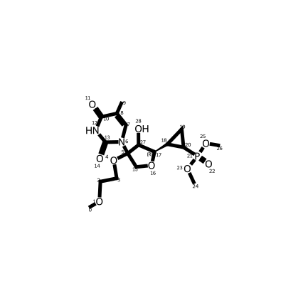 COCCOC1(n2cc(C)c(=O)[nH]c2=O)CO[C@H](C2CC2P(=O)(OC)OC)C1O